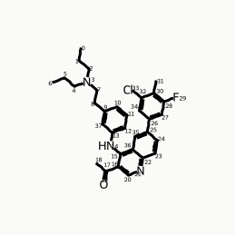 CCCN(CCC)CCc1cccc(Nc2c(C(C)=O)cnc3ccc(-c4cc(F)c(C)c(Cl)c4)cc23)c1